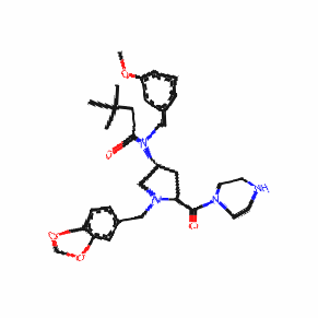 COc1cccc(CN(C(=O)CC(C)(C)C)[C@H]2CC(C(=O)N3CCNCC3)N(Cc3ccc4c(c3)OCO4)C2)c1